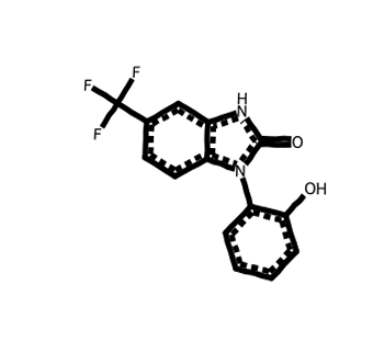 O=c1[nH]c2cc(C(F)(F)F)ccc2n1-c1ccccc1O